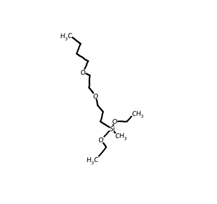 CCCCOCCOCCC[Si](C)(OCC)OCC